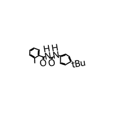 Cc1ccccc1C(=O)NC(=O)Nc1ccc(C(C)(C)C)cc1